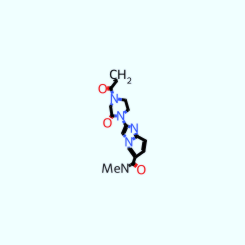 C=CC(=O)N1CCN(c2cn3cc(C(=O)NC)ccc3n2)C(=O)C1